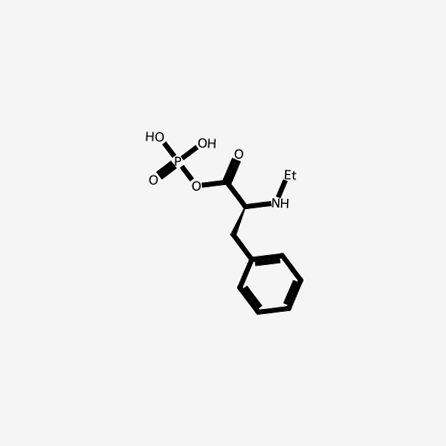 CCN[C@@H](Cc1ccccc1)C(=O)OP(=O)(O)O